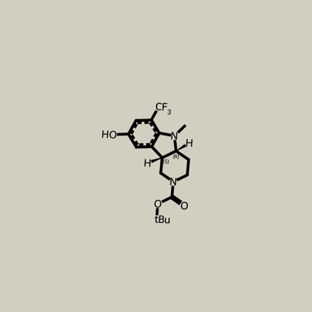 CN1c2c(cc(O)cc2C(F)(F)F)[C@H]2CN(C(=O)OC(C)(C)C)CC[C@H]21